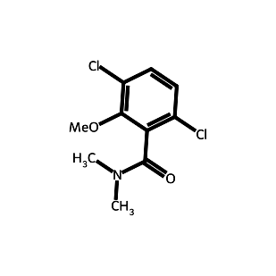 COc1c(Cl)ccc(Cl)c1C(=O)N(C)C